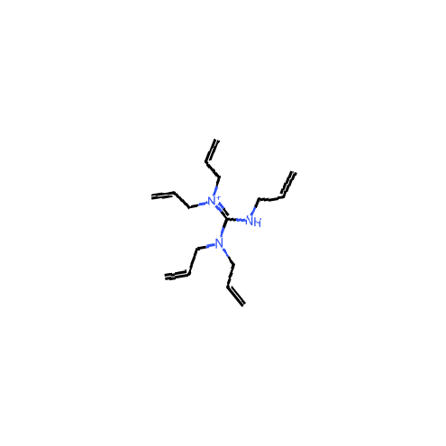 C=CCNC(N(CC=C)CC=C)=[N+](CC=C)CC=C